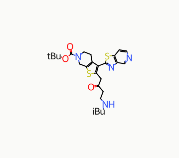 CCC(C)NCCC(=O)Cc1sc2c(c1-c1nc3cnccc3s1)CCN(C(=O)OC(C)(C)C)C2